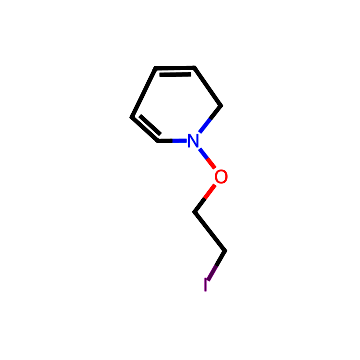 ICCON1C=CC=CC1